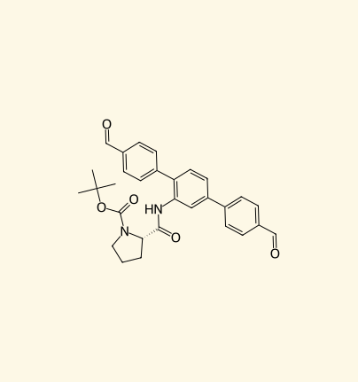 CC(C)(C)OC(=O)N1CCC[C@H]1C(=O)Nc1cc(-c2ccc(C=O)cc2)ccc1-c1ccc(C=O)cc1